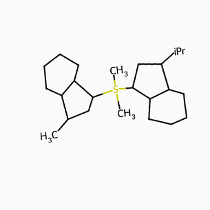 CC(C)C1CC(S(C)(C)C2CC(C)C3CCCCC32)C2CCCCC12